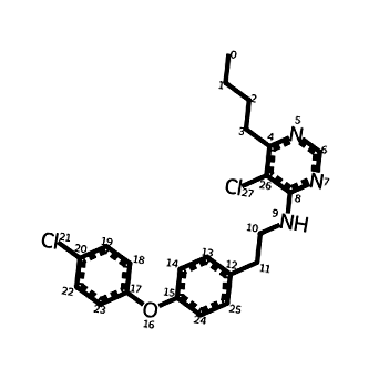 CCCCc1ncnc(NCCc2ccc(Oc3ccc(Cl)cc3)cc2)c1Cl